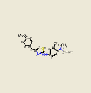 CCCCCN(C)c1ccc(Nc2nc(Cc3ccc(OC)cc3)cs2)cc1C(F)(F)F